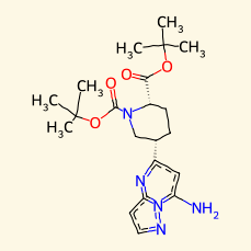 CC(C)(C)OC(=O)[C@@H]1CC[C@H](c2cc(N)n3nccc3n2)CN1C(=O)OC(C)(C)C